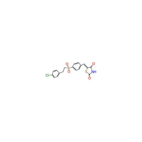 O=C1NC(=O)C(=Cc2ccc(S(=O)(=O)CCc3ccc(Cl)cc3)cc2)S1